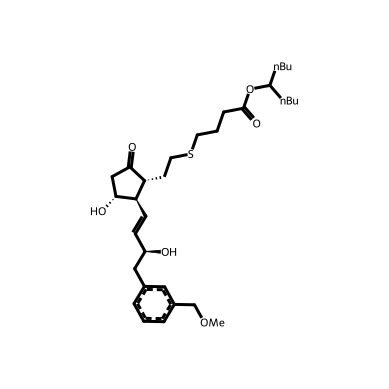 CCCCC(CCCC)OC(=O)CCCSCC[C@H]1C(=O)C[C@@H](O)[C@@H]1/C=C/[C@@H](O)Cc1cccc(COC)c1